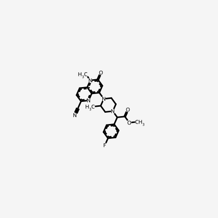 COC(=O)C(c1ccc(F)cc1)N1CCN(c2cc(=O)n(C)c3ccc(C#N)nc23)C(C)C1